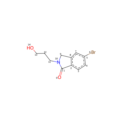 O=C1c2ccc(Br)cc2CN1CCCO